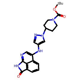 CC(C)(C)OC(=O)N1CCC(n2cc(Nc3cnc4c5c(cccc35)C(=O)N4)cn2)CC1